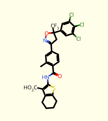 Cc1cc(C2=NOC(c3cc(Cl)c(Cl)c(Cl)c3)(C(F)(F)F)C2)ccc1C(=O)Nc1sc2c(c1C(=O)O)CCCC2